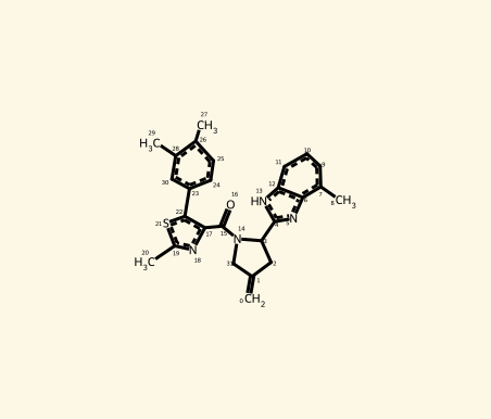 C=C1CC(c2nc3c(C)cccc3[nH]2)N(C(=O)c2nc(C)sc2-c2ccc(C)c(C)c2)C1